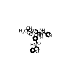 CC(C)(C)OC(=O)N1CC[C@](Nc2cccc(C(=O)N[C@H]3CCOc4ccccc43)c2)(c2nnc(-c3ccncc3)[nH]2)C1